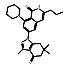 CCCc1cc2cc(-n3nc(C)c4c3CC(C)(C)CC4=O)cc(N3CCCCC3)c2c(=O)[nH]1